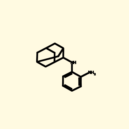 Nc1ccccc1NC1C2CC3CC(C2)CC1C3